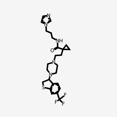 O=C(NCCCn1ccnc1)C1(CCN2CCN(C3CSc4cc(C(F)(F)F)ccc43)CC2)CC1